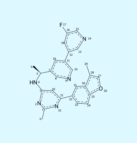 Cc1nc(N[C@@H](C)c2cncc(-c3cncc(F)c3)c2)cc(-c2ccc3occ(C)c3c2)n1